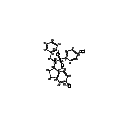 O=S(=O)(c1ccc(Cl)cc1)N(Cc1ccccc1)C1CCc2cc(Cl)ccc21